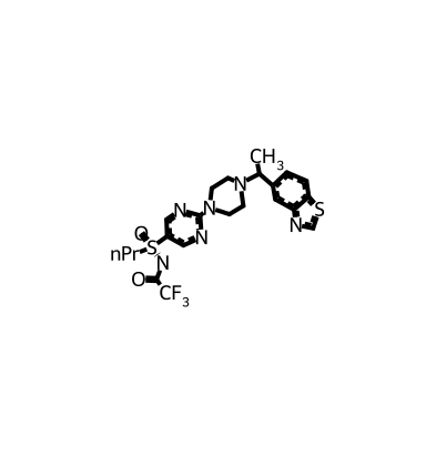 CCCS(=O)(=NC(=O)C(F)(F)F)c1cnc(N2CCN(C(C)c3ccc4scnc4c3)CC2)nc1